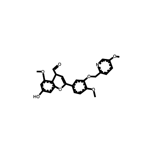 COc1ccc(COc2cc(C3=CC(C=O)c4c(OC)cc(O)cc4O3)ccc2OC)nc1